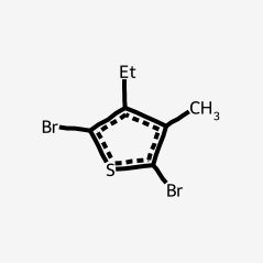 CCc1c(Br)sc(Br)c1C